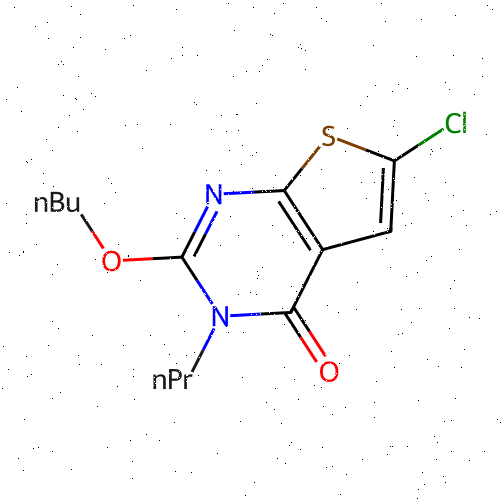 CCCCOc1nc2sc(Cl)cc2c(=O)n1CCC